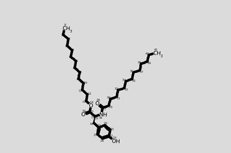 CCCCCCCCCCCCCCOC(=O)[C@H](Cc1ccc(O)cc1)NC(=O)CCCCCCCCCCCCC